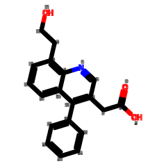 O=C(O)Cc1cnc2c(CCO)cccc2c1-c1ccccc1